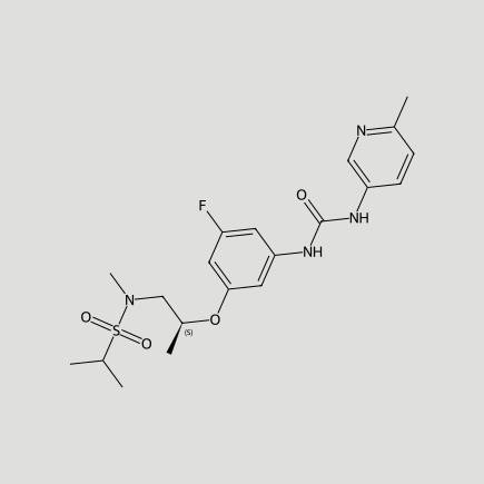 Cc1ccc(NC(=O)Nc2cc(F)cc(O[C@@H](C)CN(C)S(=O)(=O)C(C)C)c2)cn1